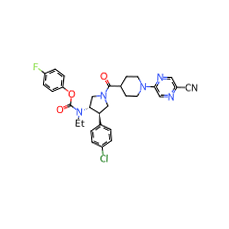 CCN(C(=O)Oc1ccc(F)cc1)[C@@H]1CN(C(=O)C2CCN(c3cnc(C#N)cn3)CC2)C[C@H]1c1ccc(Cl)cc1